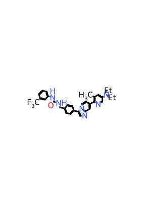 CCN(CC)c1cnc(-c2ccn3c(-c4ccc(CNC(=O)Nc5cccc(C(F)(F)F)c5)cc4)cnc3c2)c(C)c1